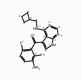 Nc1ccc(F)c(C(=O)c2c[nH]c3ncnc(NCC4CCC4)c23)c1F